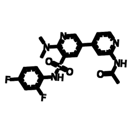 CC(=O)Nc1cc(-c2cnc(N(C)C)c(S(=O)(=O)Nc3ccc(F)cc3F)c2)ccn1